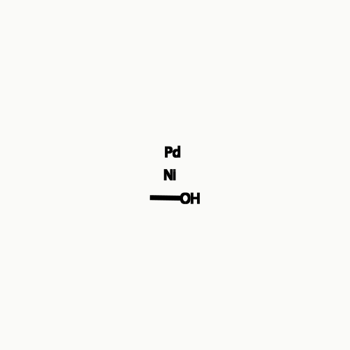 CO.[Ni].[Pd]